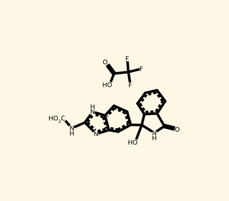 O=C(O)C(F)(F)F.O=C(O)Nc1nc2cc(C3(O)NC(=O)c4ccccc43)ccc2[nH]1